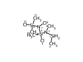 C[SiH2]N(C)[Si](C)(Cl)N(Cl)[Si](C)(C)Cl